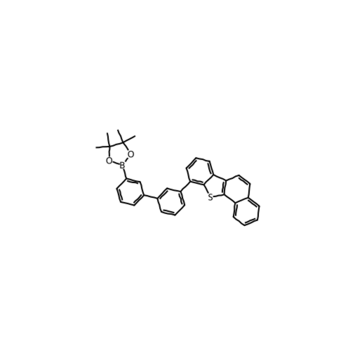 CC1(C)OB(c2cccc(-c3cccc(-c4cccc5c4sc4c6ccccc6ccc54)c3)c2)OC1(C)C